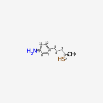 [CH]C(S)CCCc1ccc(N)cc1